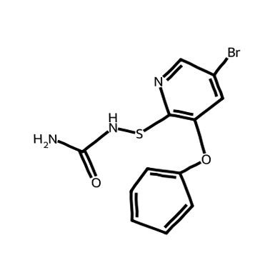 NC(=O)NSc1ncc(Br)cc1Oc1ccccc1